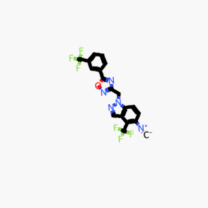 [C-]#[N+]c1ccc2c(cnn2Cc2noc(-c3cccc(C(F)(F)F)c3)n2)c1C(F)(F)F